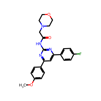 COc1ccc(-c2cc(-c3ccc(F)cc3)nc(NC(=O)CN3CCOCC3)n2)cc1